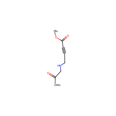 COC(=O)CNCC#CC(=O)OC(C)(C)C